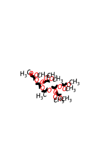 COCC(COCC(COCC(C)COCC(COCC(COC)OC)OCC(COC)OC)OCC(COC)OC)OC